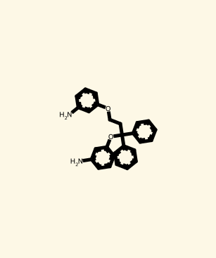 Nc1cccc(OCCC(Oc2cccc(N)c2)(c2ccccc2)c2ccccc2)c1